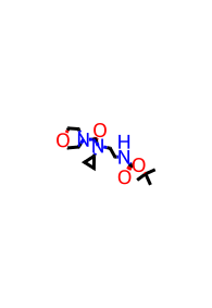 CC(C)(C)OC(=O)NCCN(C(=O)N1CCOCC1)C1CC1